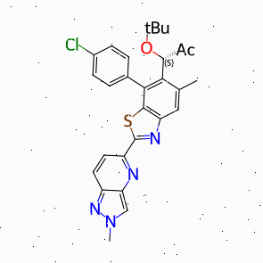 CC(=O)[C@@H](OC(C)(C)C)c1c(C)cc2nc(-c3ccc4nn(C)cc4n3)sc2c1-c1ccc(Cl)cc1